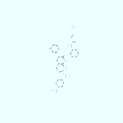 COc1cc(OC)c(Cl)c(-c2cc3cnc(Nc4ccc(N5CCOCC5)cc4)nc3n(C(C)c3cccc(NC(=O)/C=C/CN(C)C)c3)c2=O)c1